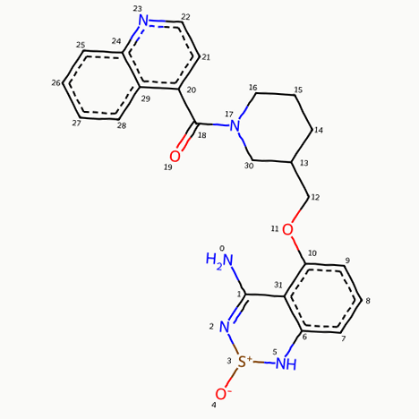 NC1=N[S+]([O-])Nc2cccc(OCC3CCCN(C(=O)c4ccnc5ccccc45)C3)c21